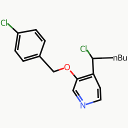 CCCCC(Cl)c1ccncc1OCc1ccc(Cl)cc1